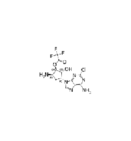 Nc1nc(Cl)nc2c1ncn2[C@@H]1C[C@@H](N)[C@@H](OC(=O)C(F)(F)F)[C@@H]1O